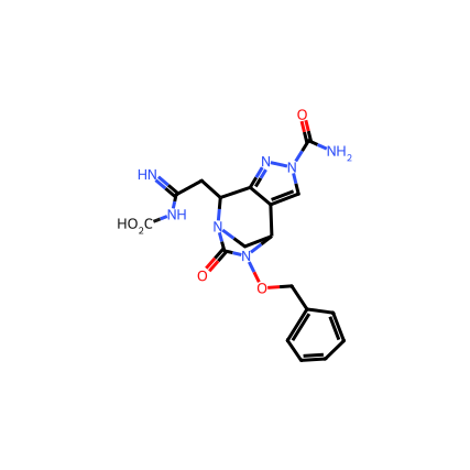 N=C(CC1c2nn(C(N)=O)cc2C2CN1C(=O)N2OCc1ccccc1)NC(=O)O